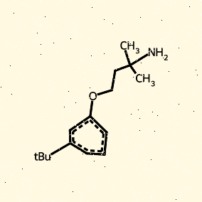 CC(C)(N)CCOc1cccc(C(C)(C)C)c1